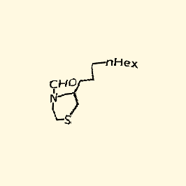 CCCCCCCCCC1CSCCN1C=O